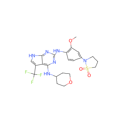 COc1cc(N2CCCS2(=O)=O)ccc1Nc1nc(NC2CCOCC2)c2c(C(F)(F)F)c[nH]c2n1